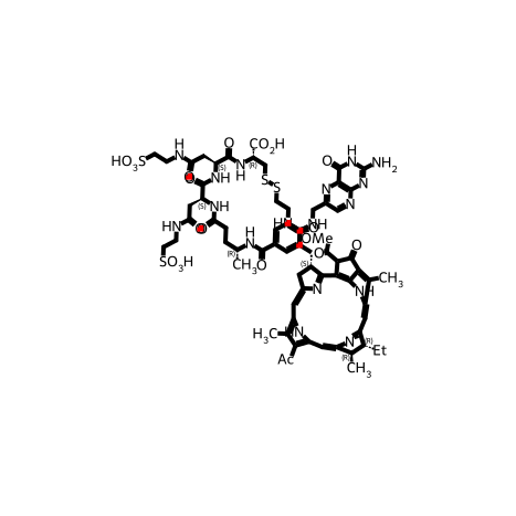 CC[C@H]1c2cc3[nH]c4c(c3C)C(=O)C(C(=O)OC)c4c3nc(cc4[nH]c(cc(n2)[C@@H]1C)c(C(C)=O)c4C)C[C@@H]3CCC(=O)NCCSSC[C@H](NC(=O)[C@H](CC(=O)NCCS(=O)(=O)O)NC(=O)[C@H](CC(=O)NCCS(=O)(=O)O)NC(=O)CC[C@@H](C)NC(=O)c1ccc(NCc2cnc3nc(N)[nH]c(=O)c3n2)cc1)C(=O)O